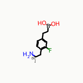 C[C@H](N)Cc1ccc(CCB(O)O)cc1F